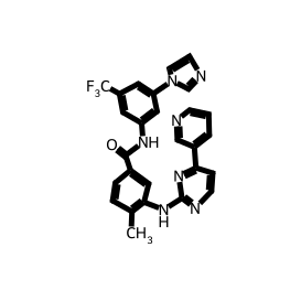 Cc1ccc(C(=O)Nc2cc(-n3ccnc3)cc(C(F)(F)F)c2)cc1Nc1nccc(-c2cccnc2)n1